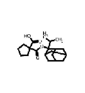 CC(C)C1(OC(=O)C2(C(=O)O)CCCC2)C2CC3CC(C2)CC1C3